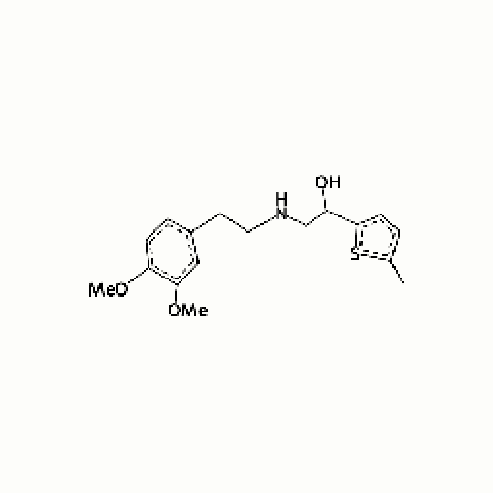 COc1ccc(CCNCC(O)c2ccc(C)s2)cc1OC